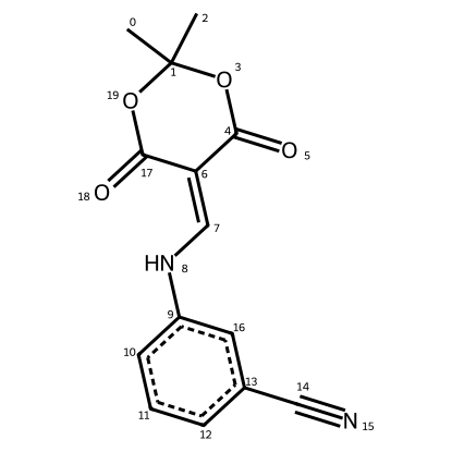 CC1(C)OC(=O)C(=CNc2cccc(C#N)c2)C(=O)O1